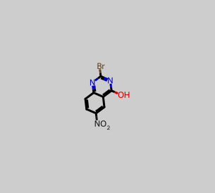 O=[N+]([O-])c1ccc2nc(Br)nc(O)c2c1